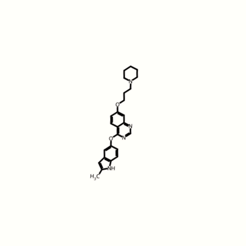 Cc1cc2cc(Oc3ncnc4cc(OCCCN5CCCCC5)ccc34)ccc2[nH]1